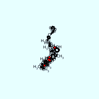 CCN(C(C)=O)C1COC(CC2C(O[C@H]3/C=C\C#C[C@]4(O)CC(=O)C(NC(=O)OC)=C3/C4=C\CSSC(C)(C)CC(=O)N/N=C(\C)c3ccc(OCCCC(=O)ON4C(=O)CCC4=O)cc3)OC(C)C3C2N3OC2CC(O)C(SC(=O)c3c(C)c(I)c(OC4OC(C)C(O)C(OC)C4O)c(OC)c3OC)C(C)O2)CC1OC